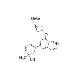 COCN1CC(Oc2cc(C3=CC=CC(C)(C#N)C3)cc3ccncc23)C1